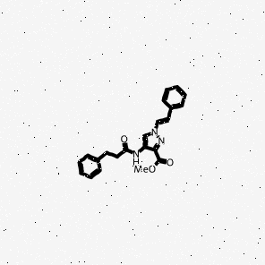 COC(=O)c1nn(C=Cc2ccccc2)cc1NC(=O)CCc1ccccc1